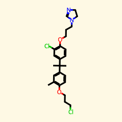 Cc1cc(C(C)(C)c2ccc(OCCCN3C=NCC3)c(Cl)c2)ccc1OCCCCl